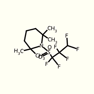 CC1(C)CCCC(C)(C)N1S(=O)(=O)C(F)(F)C(F)(F)C(F)F